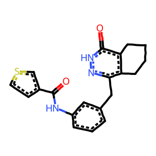 O=C(Nc1cccc(Cc2n[nH]c(=O)c3c2CCCC3)c1)c1ccsc1